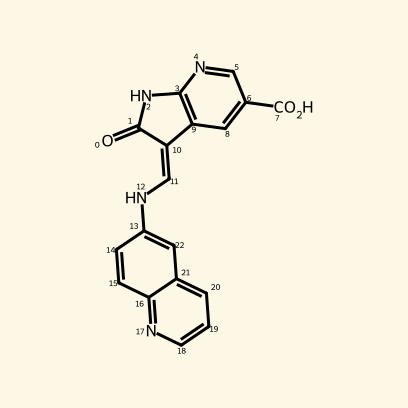 O=C1Nc2ncc(C(=O)O)cc2C1=CNc1ccc2ncccc2c1